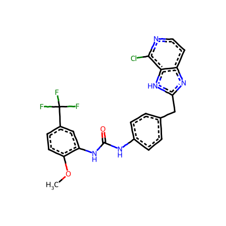 COc1ccc(C(F)(F)F)cc1NC(=O)Nc1ccc(Cc2nc3ccnc(Cl)c3[nH]2)cc1